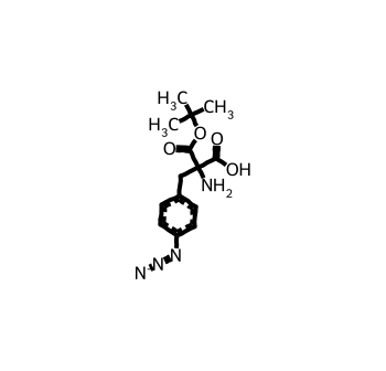 CC(C)(C)OC(=O)C(N)(Cc1ccc(N=[N+]=[N-])cc1)C(=O)O